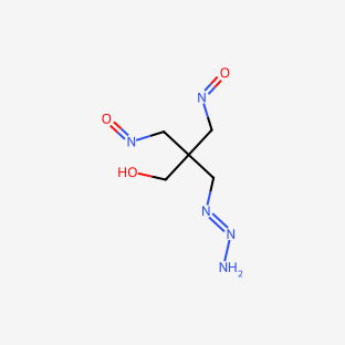 NN=NCC(CO)(CN=O)CN=O